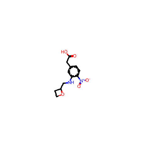 O=C(O)Cc1ccc([N+](=O)[O-])c(NCC2CCO2)c1